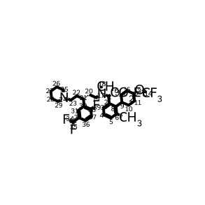 CCOC(=O)C(c1cccc(C)c1C1CCC(OC(F)(F)F)CC1)N(C)CC[C@@H](CCN1CCCCC1)c1cc(C(F)F)ccc1F